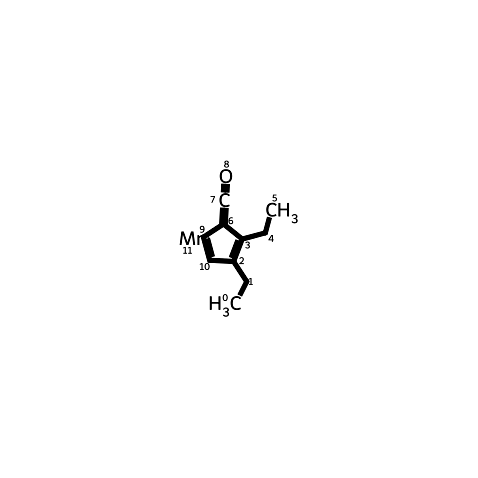 CCC1=C(CC)C(=C=O)C=C1.[Mn]